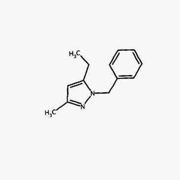 CCc1cc(C)nn1Cc1ccccc1